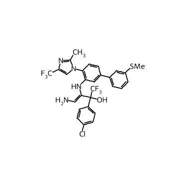 CSc1cccc(-c2ccc(-n3cc(C(F)(F)F)nc3C)c(N/C(=C\N)C(O)(c3ccc(Cl)cc3)C(F)(F)F)c2)c1